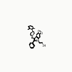 Cc1cccc(C)c1C1CCN(Cc2c(-c3ccccc3)n(CCO)c3cc4c(cc23)OCO4)CC1